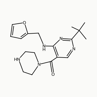 CC(C)(C)c1ncc(C(=O)N2CCNCC2)c(NCc2ccco2)n1